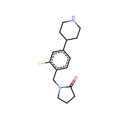 O=C1CCCN1Cc1ccc(C2CCNCC2)cc1F